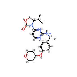 CC(C)C1COC(=O)N1c1ccnc(N[C@H](C)c2ccc(OC3CCOCC3)cc2)n1